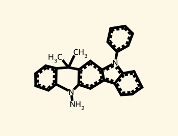 CC1(C)c2ccccc2N(N)c2cc3c4ccccc4n(-c4ccccc4)c3cc21